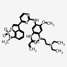 C=CC(=O)Nc1cc(Nc2nccc(-c3cn4c5c(cccc35)N(C)S4(=O)=O)n2)c(OC)cc1N(C)CCN(CC)CC